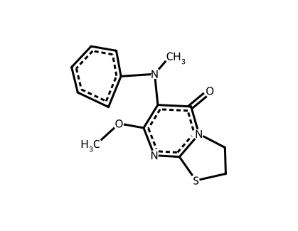 COc1nc2n(c(=O)c1N(C)c1ccccc1)CCS2